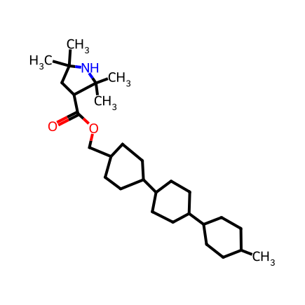 CC1CCC(C2CCC(C3CCC(COC(=O)C4CC(C)(C)NC4(C)C)CC3)CC2)CC1